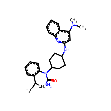 CC(C)c1ccccc1N(C(N)=O)C1CCC(Nc2cc(N(C)C)c3ccccc3n2)CC1